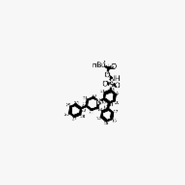 CCCCC(=O)ONS(=O)(=O)c1ccc(-c2ccccc2)c(N2CCC(c3ccccc3)CC2)c1